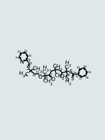 CC(CC(C)(C)CC(=O)C(C)(C)OCCC(C)(C)SSc1ccccn1)C(C)(C)SC(=S)c1ccccc1